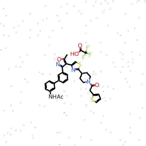 CC(=O)Nc1cccc(-c2cccc(-c3noc(C)c3-c3csc(C4CCN(C(=O)Cc5cccs5)CC4)n3)c2)c1.O=C(O)C(F)(F)F